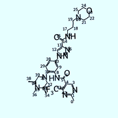 Cc1ncc(C(=O)Nc2cc(-n3cc(C(=O)NCCCN4CCOCC4)nn3)ccc2N2C[C@@H](C)N(C)[C@@H](C)C2)c(C(F)(F)F)n1